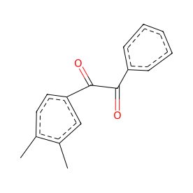 Cc1ccc(C(=O)C(=O)c2ccccc2)cc1C